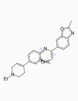 CCN1CC=C(c2cc/c(=N/C(=C\C=O)c3ccc4nc(C)oc4c3)n(C)c2)CC1